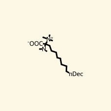 CCCCCCCCCCCCCCCCCCC(C(=O)[O-])(N(C)C)[N+](C)(C)C